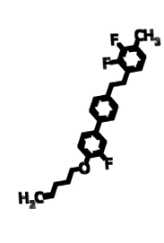 C=CCCCOc1ccc(-c2ccc(CCc3ccc(C)c(F)c3F)cc2)cc1F